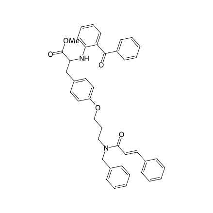 COC(=O)C(Cc1ccc(OCCCN(Cc2ccccc2)C(=O)C=Cc2ccccc2)cc1)Nc1ccccc1C(=O)c1ccccc1